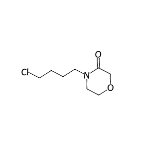 O=C1COCCN1CCCCCl